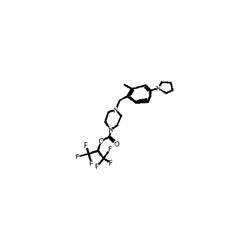 Cc1cc(N2CCCC2)ccc1CN1CCN(C(=O)OC(C(F)(F)F)C(F)(F)F)CC1